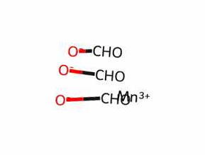 O=C[O-].O=C[O-].O=C[O-].[Mn+3]